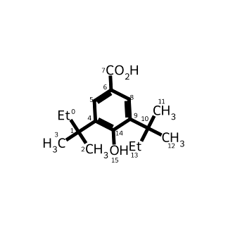 CCC(C)(C)c1cc(C(=O)O)cc(C(C)(C)CC)c1O